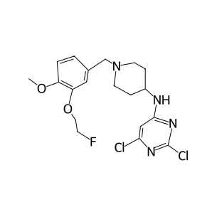 COc1ccc(CN2CCC(Nc3cc(Cl)nc(Cl)n3)CC2)cc1OCCF